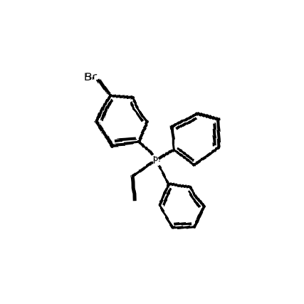 CC[P](c1ccccc1)(c1ccccc1)c1ccc(Br)cc1